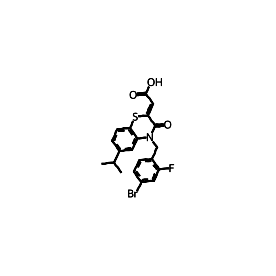 CC(C)c1ccc2c(c1)N(Cc1ccc(Br)cc1F)C(=O)/C(=C/C(=O)O)S2